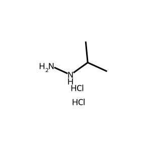 CC(C)NN.Cl.Cl